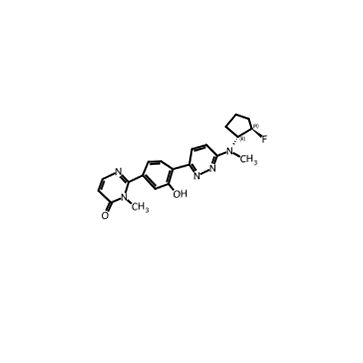 CN(c1ccc(-c2ccc(-c3nccc(=O)n3C)cc2O)nn1)[C@@H]1CCC[C@H]1F